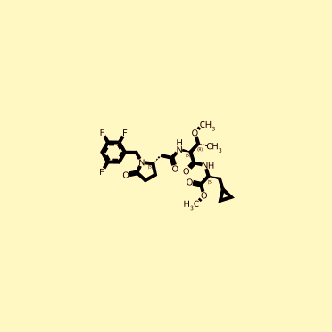 COC(=O)[C@H](CC1CC1)NC(=O)[C@@H](NC(=O)C[C@@H]1CCC(=O)N1Cc1cc(F)cc(F)c1F)[C@@H](C)OC